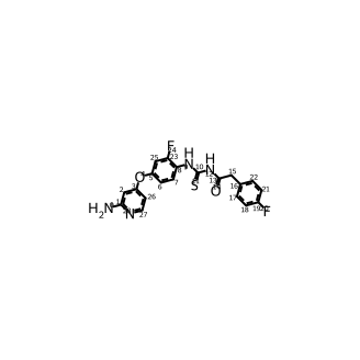 Nc1cc(Oc2ccc(NC(=S)NC(=O)Cc3ccc(F)cc3)c(F)c2)ccn1